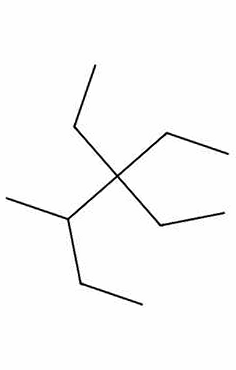 CCC(C)C(CC)(CC)CC